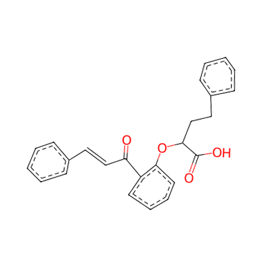 O=C(/C=C/c1ccccc1)c1ccccc1OC(CCc1ccccc1)C(=O)O